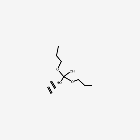 C=C.C=C.CCCOC(O)(O)OCCC